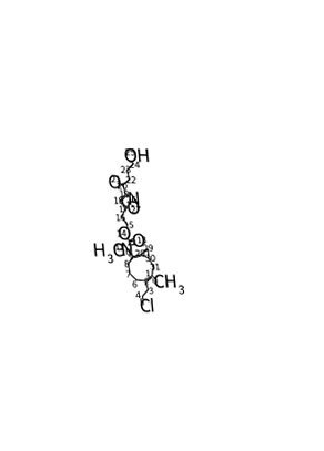 C/C1=C(\CCCl)CCC/C(N(C)C(=O)OCCc2cc(C(=O)CCCO)no2)=C2/CC2C1